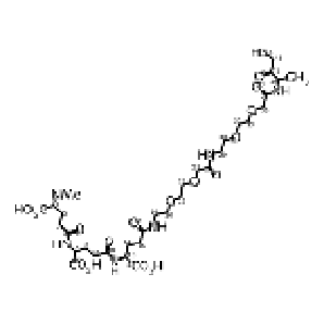 CN[C@@H](CCC(=O)NC(CCC(=O)N[C@@H](CCC(=O)NCCOCCOCC(=O)NCCOCCOCC(=O)NC(C)C(=O)CS)C(=O)O)C(=O)O)C(=O)O